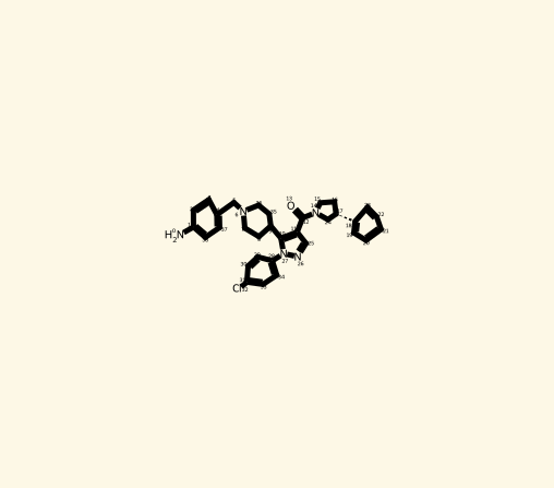 Nc1ccc(CN2CCC(c3c(C(=O)N4CC[C@H](c5ccccc5)C4)cnn3-c3ccc(Cl)cc3)CC2)cc1